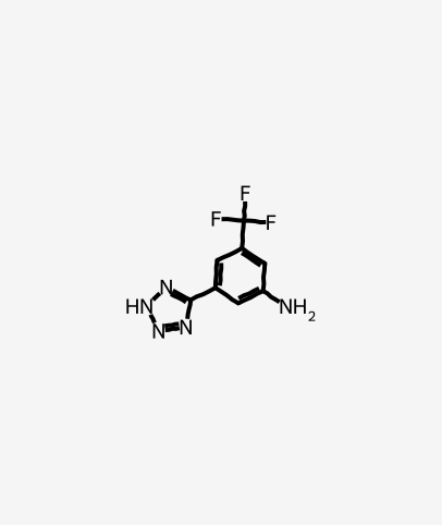 Nc1cc(-c2nn[nH]n2)cc(C(F)(F)F)c1